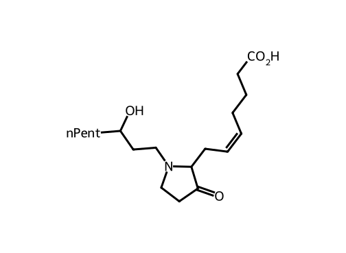 CCCCCC(O)CCN1CCC(=O)C1C/C=C\CCCC(=O)O